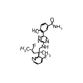 C[C@@H](F)C[C@](C)(CNc1ncc(-c2cc(C(N)=O)ccc2O)nn1)c1ncccc1F